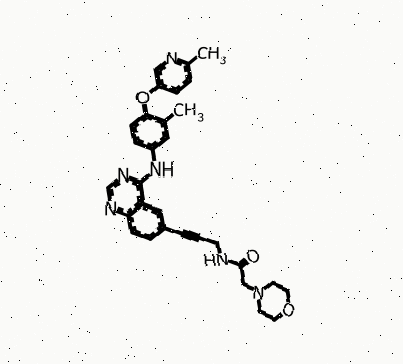 Cc1ccc(Oc2ccc(Nc3ncnc4ccc(C#CCNC(=O)CN5CCOCC5)cc34)cc2C)cn1